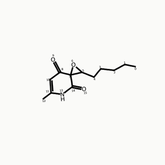 CCCCCC1OC12C(=O)C=C(C)NC2=O